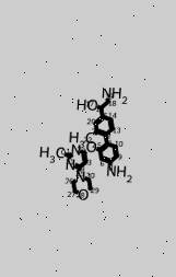 Cc1nc(Oc2cc(N)ccc2-c2ccc(C(O)CN)cc2C)cc(N2CCOCC2)n1